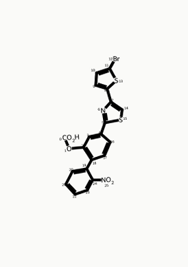 O=C(O)Oc1cc(-c2nc(-c3ccc(Br)s3)cs2)ccc1-c1ccccc1[N+](=O)[O-]